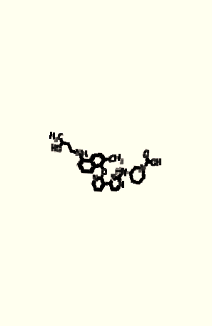 Cc1ccc2c(NCCC(C)O)cccc2c1Oc1ncccc1-c1ccnc(N[C@H]2CCCN(C(=O)O)C2)n1